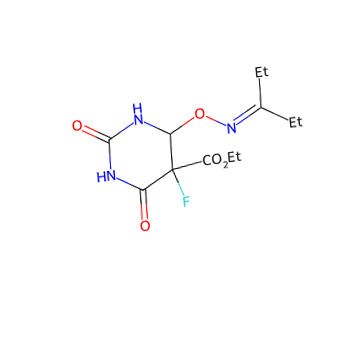 CCOC(=O)C1(F)C(=O)NC(=O)NC1ON=C(CC)CC